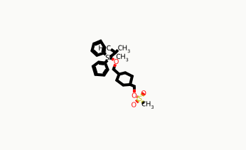 CC(C)(C)[Si](OCC1CCC(COS(C)(=O)=O)CC1)(c1ccccc1)c1ccccc1